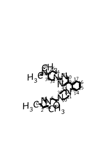 Cc1cc(C)n(CC(=O)N2CCN(c3ccccc3-c3cnc(N4CCC(N(C)C)CC4)nc3)CC2)n1